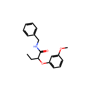 CCC(Oc1cccc(OC)c1)C(=O)NCc1ccccc1